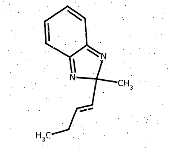 CCC=CC1(C)N=c2ccccc2=N1